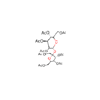 CC(=O)OCC1O[C@H](O[C@@]2(COC(C)=O)O[C@H](COC(C)=O)C(OC(C)=O)[C@H]2OC(C)=O)C(OC(C)=O)[C@@H](OC(C)=O)[C@@H]1OC(C)=O